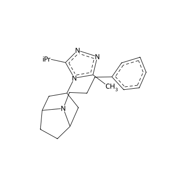 Cc1nnc(C(C)C)n1C1CC2CCC(C1)N2CCCc1ccccc1